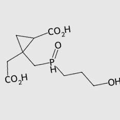 O=C(O)CC1(C[PH](=O)CCCO)CC1C(=O)O